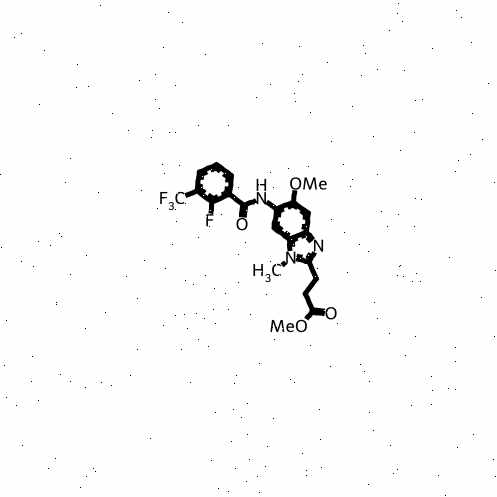 COC(=O)CCc1nc2cc(OC)c(NC(=O)c3cccc(C(F)(F)F)c3F)cc2n1C